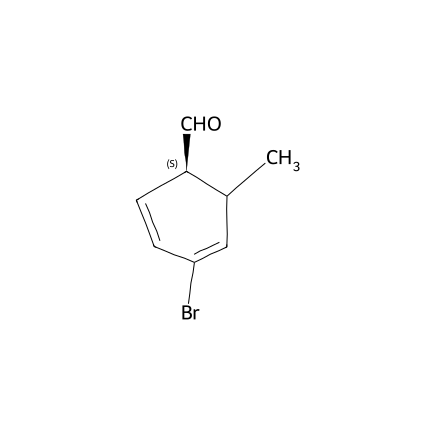 CC1C=C(Br)C=C[C@H]1C=O